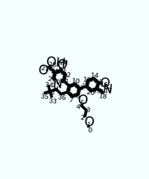 COCCCOc1cc2c(cc1-c1ccc3oncc3c1)-c1cc(=O)c(C(=O)O)cn1C(C(C)(C)C)C2